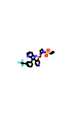 C=CS(=O)(=O)N1CC[C@@H]1COc1cnccc1-c1[nH]c2cccnc2c1-c1cccc(C(F)(F)F)c1